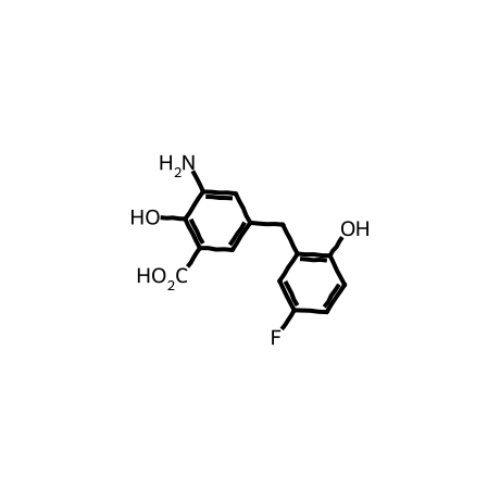 Nc1cc(Cc2cc(F)ccc2O)cc(C(=O)O)c1O